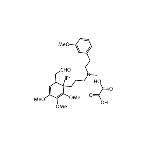 COC1=CC(CC=O)C(CCCN(C)CCc2cccc(OC)c2)(C(C)C)C(OC)=C1OC.O=C(O)C(=O)O